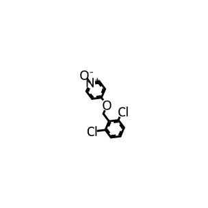 [O-][n+]1ccc(OCc2c(Cl)cccc2Cl)cc1